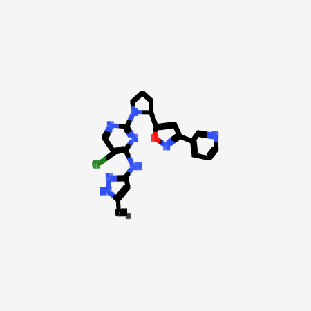 Cc1cc(Nc2nc(N3CCCC3c3cc(-c4cccnc4)no3)ncc2Cl)n[nH]1